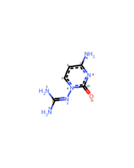 NC(N)=Nn1ccc(N)nc1=O